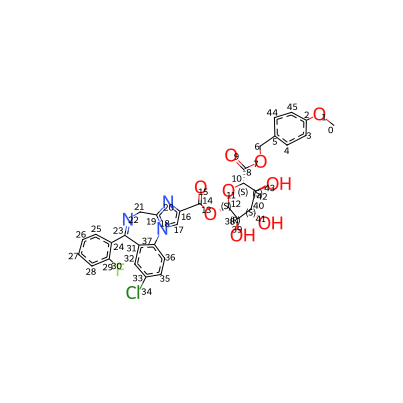 COc1ccc(COC(=O)[C@H]2O[C@@H](OC(=O)c3cn4c(n3)CN=C(c3ccccc3F)c3cc(Cl)ccc3-4)[C@H](O)[C@@H](O)[C@@H]2O)cc1